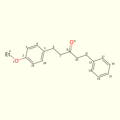 CCOc1ccc(CCC(=O)CCc2ccccc2)cc1